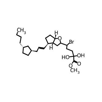 CCCC[C@H]1CC[C@H](C/C=C/[C@H]2CC[C@@H]3OC(C(Br)CCC(O)(O)C(=O)OC)C[C@@H]32)C1